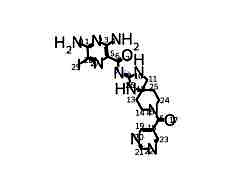 Nc1nc(N)c(C(=O)/N=C2\NCC3(CCN(C(=O)c4cncnc4)CC3)N2)nc1I